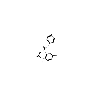 C[C@H]1C(=O)Nc2ccc(Cl)cc2N1C(=O)Oc1ccc(F)cc1